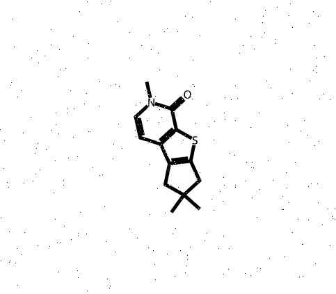 Cn1ccc2c3c(sc2c1=O)CC(C)(C)C3